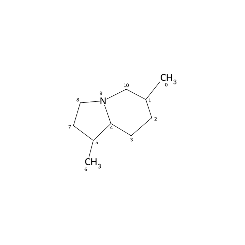 CC1CCC2C(C)CCN2C1